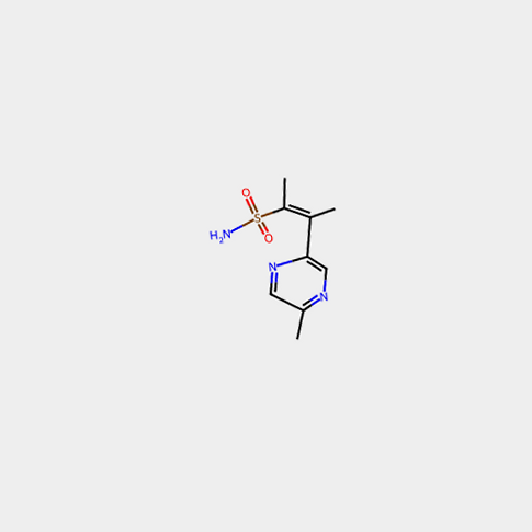 CC(=C(C)S(N)(=O)=O)c1cnc(C)cn1